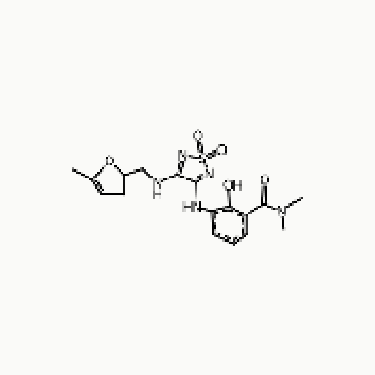 CC1=CCC(CNC2=NS(=O)(=O)N=C2Nc2cccc(C(=O)N(C)C)c2O)O1